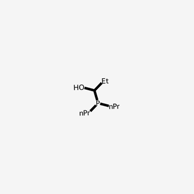 CCCP(CCC)C(O)CC